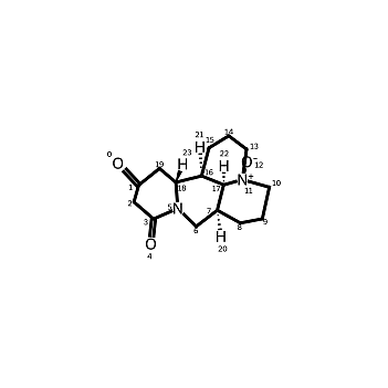 O=C1CC(=O)N2C[C@@H]3CCC[N+]4([O-])CCC[C@@H]([C@H]34)[C@H]2C1